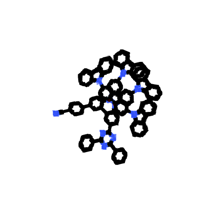 N#Cc1ccc(-c2ccc(-n3c4ccc(-n5c6ccccc6c6ccccc65)cc4c4cc(-n5c6ccccc6c6ccccc65)ccc43)c(-c3cc(-c4nc(-c5ccccc5)nc(-c5ccccc5)n4)ccc3-n3c4ccc(-n5c6ccccc6c6ccccc65)cc4c4cc(-n5c6ccccc6c6ccccc65)ccc43)c2)cc1